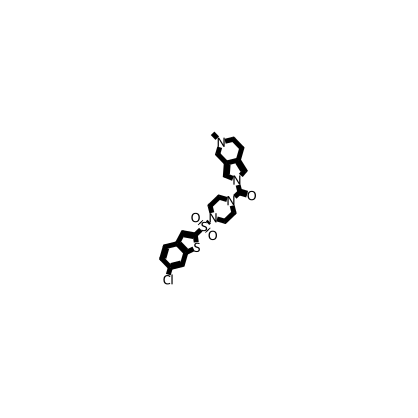 CN1CCc2cn(C(=O)N3CCN(S(=O)(=O)c4cc5ccc(Cl)cc5s4)CC3)cc2C1